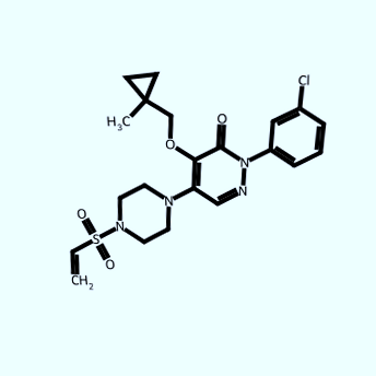 C=CS(=O)(=O)N1CCN(c2cnn(-c3cccc(Cl)c3)c(=O)c2OCC2(C)CC2)CC1